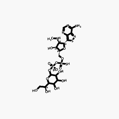 CN[C@@H]1[C@H](O)[C@@H](COP(=O)(S)OP(=O)(O)OC2OC([C@@H](O)CO)C(O)C(O)C2O)O[C@H]1c1snc2c(N)ncnc12